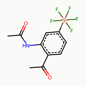 CC(=O)Nc1cc(S(F)(F)(F)(F)F)ccc1C(C)=O